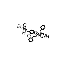 CCC(=O)NCCc1ccccc1Oc1ccccc1CCC(=O)N1CCNC[C@H]1Cc1ccccc1